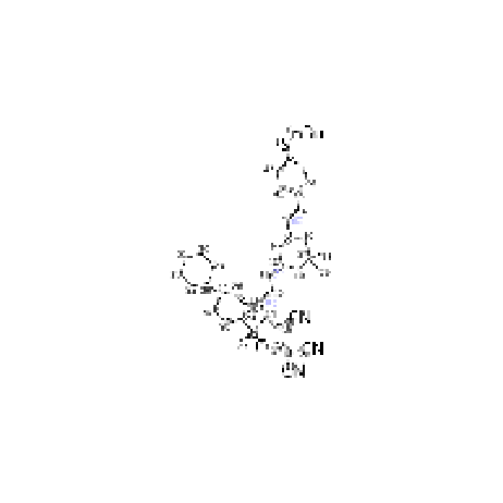 CCCCSc1ccc(/C=C/C2=CC(=C/C=C/C3=C(C#N)C(=C(C#N)C#N)OC3(C)c3ccc(C4CCCCC4)cc3)/CC(C)(C)C2)cc1